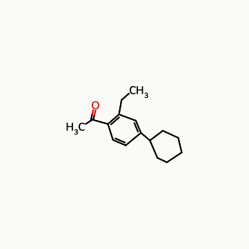 CCc1cc(C2CCCCC2)ccc1C(C)=O